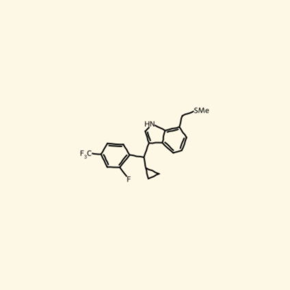 CSCc1cccc2c(C(c3ccc(C(F)(F)F)cc3F)C3CC3)c[nH]c12